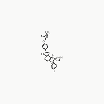 CNC(=O)COc1ccc(-c2nc3c(N[C@@]4(Cc5ccc(F)cc5)CCNC4)c(Cl)cnc3[nH]2)cc1